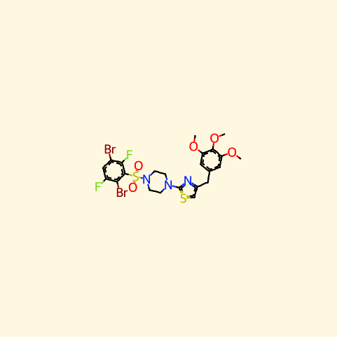 COc1cc(Cc2csc(N3CCN(S(=O)(=O)c4c(F)c(Br)cc(F)c4Br)CC3)n2)cc(OC)c1OC